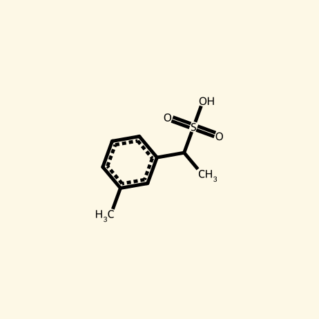 Cc1cccc(C(C)S(=O)(=O)O)c1